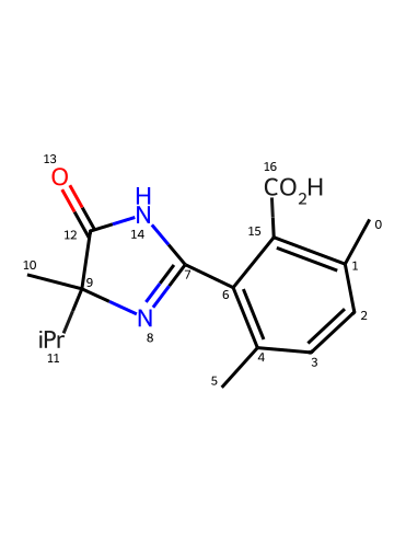 Cc1ccc(C)c(C2=NC(C)(C(C)C)C(=O)N2)c1C(=O)O